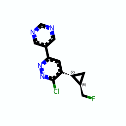 FC[C@@H]1C[C@H]1c1cc(-c2cncnc2)nnc1Cl